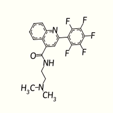 CN(C)CCNC(=O)c1cc(-c2c(F)c(F)c(F)c(F)c2F)nc2ccccc12